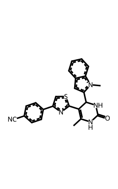 CC1=C(c2nc(-c3ccc(C#N)cc3)cs2)C(c2cc3ccccc3n2C)NC(=O)N1